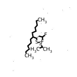 CCCCCCC(CCCCCC)[C@H](CC(F)F)SSC(C)C